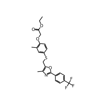 CCOC(=O)COc1ccc(SCc2oc(-c3ccc(C(F)(F)F)cc3)nc2C)cc1C